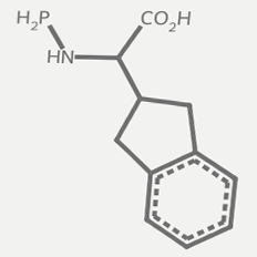 O=C(O)C(NP)C1Cc2ccccc2C1